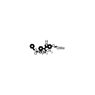 COCCOc1ccc2c(C(c3cccc(NC(=O)OCc4ccccc4)c3C)C(C)[N+](=O)[O-])c[nH]c2c1